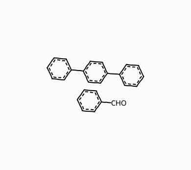 O=Cc1ccccc1.c1ccc(-c2ccc(-c3ccccc3)cc2)cc1